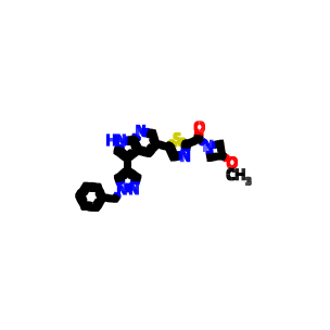 COC1CN(C(=O)c2ncc(-c3cnc4[nH]cc(-c5cnn(Cc6ccccc6)c5)c4c3)s2)C1